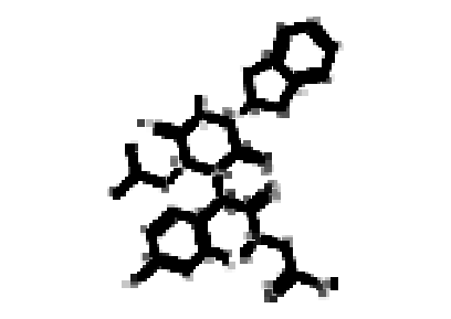 CC(C)C[C@@H]1C(=O)N[C@H](C2Cc3ccccc3C2)C(=O)N1[C@@H](C(=O)N(C)CC(=O)O)c1ccc(F)cc1F